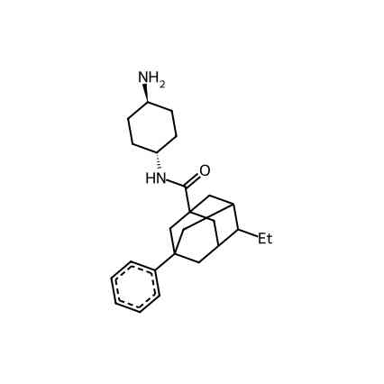 CCC1C2CC3(C(=O)N[C@H]4CC[C@H](N)CC4)CC1CC(c1ccccc1)(C2)C3